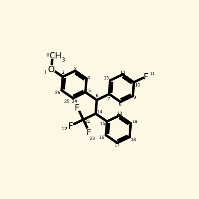 COc1ccc(C(c2ccc(F)cc2)C(c2ccccc2)C(F)(F)F)cc1